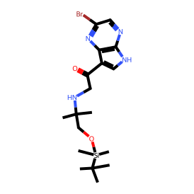 CC(C)(CO[Si](C)(C)C(C)(C)C)NCC(=O)c1c[nH]c2ncc(Br)nc12